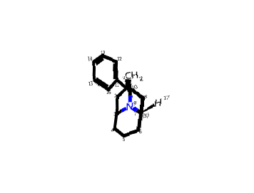 C=C1CC2CCC[C@@H](C1)N2Cc1ccccc1